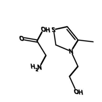 CC1=CSCN1CCO.NCC(=O)O